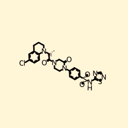 C[C@H](C(=O)N1CCN(c2ccc(S(=O)(=O)Nc3ncns3)cc2)C(=O)C1)N1CCCc2cc(Cl)ccc21